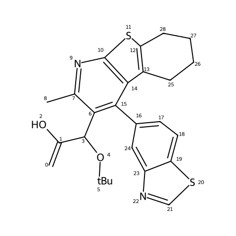 C=C(O)C(OC(C)(C)C)c1c(C)nc2sc3c(c2c1-c1ccc2scnc2c1)CCCC3